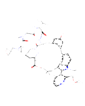 CCn1c(-c2cccnc2[C@H](C)OC)c2c3cc(ccc31)-c1cc(O)cc(c1)C[C@H](NC(=O)[C@H](C(C)C)N(C)C(=O)CN(C)C(=O)[C@@H]1CN1CC1(C)COC1)C(=O)N1CCC[C@H](N1)C(=O)OCC(C)(C)C2